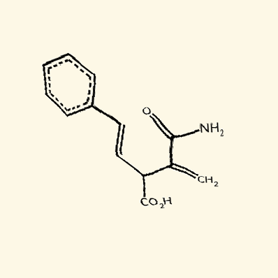 C=C(C(N)=O)C(C=Cc1ccccc1)C(=O)O